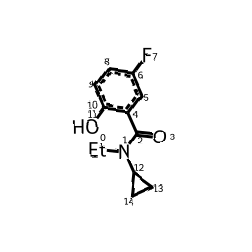 CCN(C(=O)c1cc(F)ccc1O)C1CC1